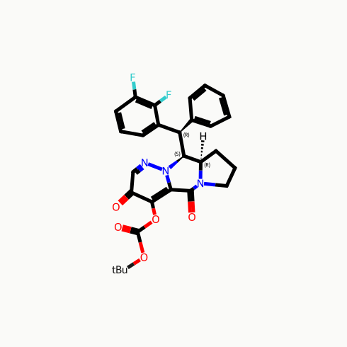 CC(C)(C)OC(=O)Oc1c2n(ncc1=O)[C@@H]([C@H](c1ccccc1)c1cccc(F)c1F)[C@H]1CCCN1C2=O